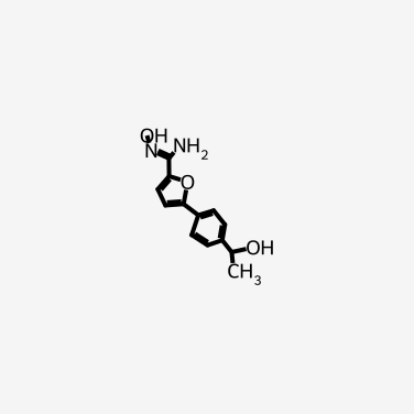 CC(O)c1ccc(-c2ccc(C(N)=NO)o2)cc1